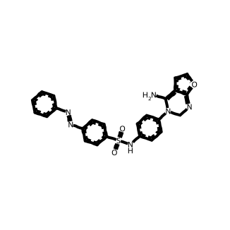 NC1=c2ccoc2=NCN1c1ccc(NS(=O)(=O)c2ccc(N=Nc3ccccc3)cc2)cc1